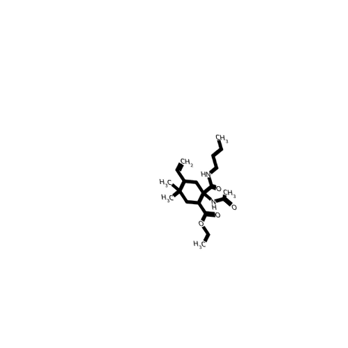 C=CC1CC(NC(C)=O)(C(=O)NCCCC)C(C(=O)OCC)CC1(C)C